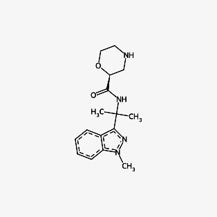 Cn1nc(C(C)(C)NC(=O)[C@@H]2CNCCO2)c2ccccc21